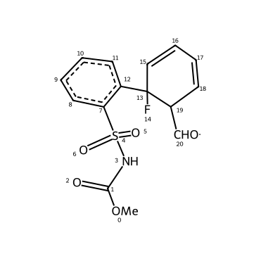 COC(=O)NS(=O)(=O)c1ccccc1C1(F)C=CC=CC1[C]=O